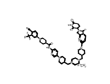 C[C@@H]1CN(CC2CCN(c3ccc(NC(=O)C4CCN(c5ccc(C#N)c(C(F)(F)F)c5)CC4)nc3)CC2)CCN1CC1CCN(c2ccc3c(n2)CN(C2CCC(=O)NC2=O)C3=O)CC1